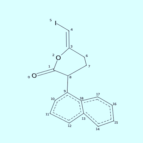 O=C1O/C(=C\I)CCC1c1cccc2ccccc12